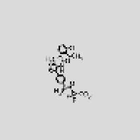 Cc1noc(-c2ccc(N(C)C(=O)[C@H]3[C@H](C(=O)O)C3(F)F)cc2)c1NC(=O)O[C@H](C)c1ccccc1Cl